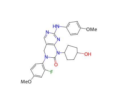 COc1ccc(Nc2ncc3c(n2)N(C2CCC(O)CC2)C(=O)N(c2ccc(OC)cc2F)C3)cc1